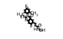 CCc1nc2cc(F)c(/C=C/C(=O)NO)cc2c(=O)n1-c1c(C)cc(F)cc1C